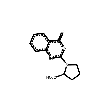 O=C(O)[C@@H]1CCCN1c1nc(=O)c2ccccc2[nH]1